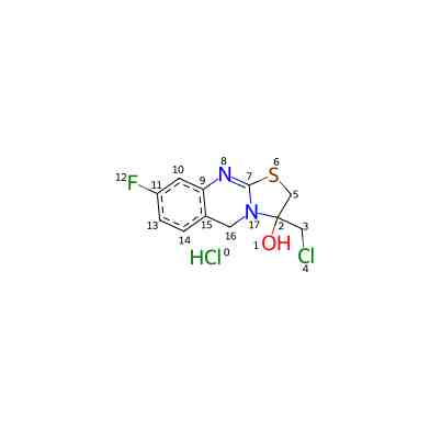 Cl.OC1(CCl)CSC2=Nc3cc(F)ccc3CN21